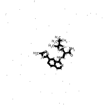 Cc1nc(-c2ccc3ccnc(NC=C(C(N)=O)c4nc(C)c(C(C)(C)C)s4)c3c2)no1